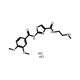 CNCCNC(=O)c1csc(NC(=O)c2ccc(OC)c(OC)c2)n1.Cl.Cl